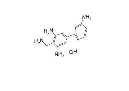 Cl.NCc1c(N)cc(-c2cccc(N)c2)cc1N